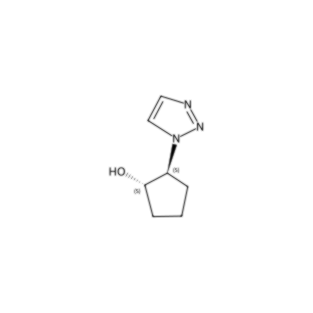 O[C@H]1CCC[C@@H]1n1ccnn1